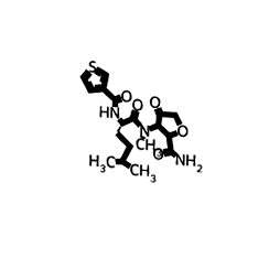 CC(C)CC[C@H](NC(=O)c1ccsc1)C(=O)N(C)C1C(=O)COC1C(N)=O